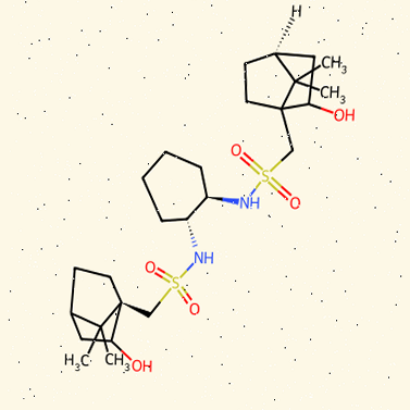 CC1(C)[C@H]2CCC1(CS(=O)(=O)N[C@@H]1CCCC[C@H]1NS(=O)(=O)C[C@@]13CCC(CC1O)C3(C)C)C(O)C2